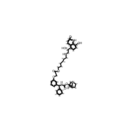 O=C(COc1cccc(C(NC(=O)O[C@H]2CN3CCC2CC3)c2ccccc2)c1)OCCCCCCNC[C@H](O)c1ccc(O)c2[nH]c(=O)ccc12